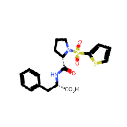 O=C(O)[C@H](Cc1ccccc1)NC(=O)[C@@H]1CCCN1S(=O)(=O)c1cccs1